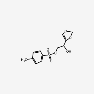 Cc1ccc(S(=O)(=O)OCC(O)C2=COCO2)cc1